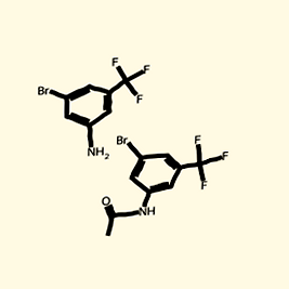 CC(=O)Nc1cc(Br)cc(C(F)(F)F)c1.Nc1cc(Br)cc(C(F)(F)F)c1